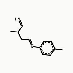 Cc1ccc(N=CCC(C)C=N)cc1